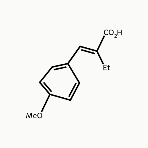 CC/C(=C\c1ccc(OC)cc1)C(=O)O